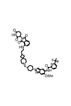 COc1cc2nn([C@H]3CC[C@H](CN4CCC5(CC4)CC(CCNc4cccc6c4C(=O)N(C4CCC(=O)NC4=O)C6=O)C5)CC3)cc2cc1NC(=O)c1cccc(C(C)(F)F)n1